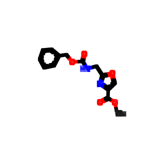 CC(C)(C)OC(=O)c1coc(CNC(=O)OCc2ccccc2)n1